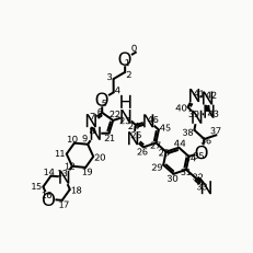 COCCCOc1nn(C2CCC(N3CCOCC3)CC2)cc1Nc1ncc(-c2ccc(C#N)c(OC(C)Cn3cnnn3)c2)cn1